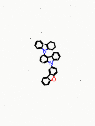 c1ccc2c(c1)oc1ccc(-n3c4ccccc4c4c(-n5c6c(c7ccccc75)CCCC6)cccc43)cc12